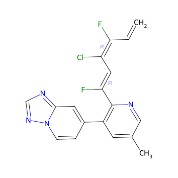 C=C/C(F)=C(Cl)\C=C(/F)c1ncc(C)cc1-c1ccn2ncnc2c1